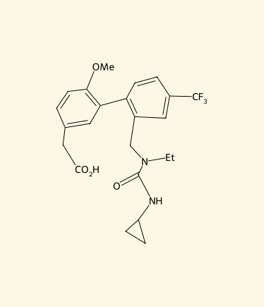 CCN(Cc1cc(C(F)(F)F)ccc1-c1cc(CC(=O)O)ccc1OC)C(=O)NC1CC1